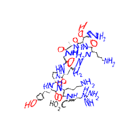 C[C@H](NC(=O)[C@@H](NC(=O)[C@@H](N)CCCCN)[C@@H](O)CN)C(=O)NCC(=O)N[C@H](CCCN)C(=O)N1CCC[C@H]1C(=O)N[C@@H](CCc1ccc(O)cc1)C(=O)N[C@@H](CCCCN)C(=O)N/C(=C\CCNC(=N)N)C(=O)O